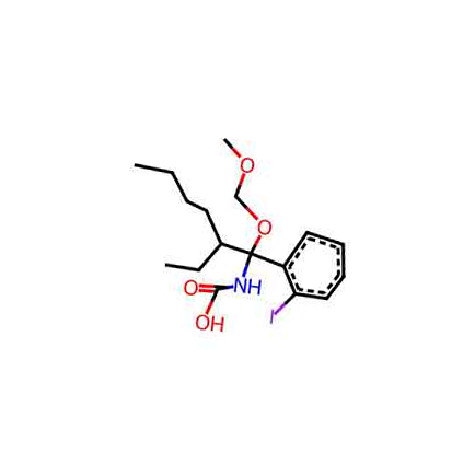 CCCCC(CC)C(NC(=O)O)(OCOC)c1ccccc1I